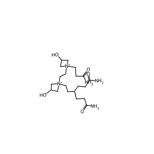 NC(=O)CCC(CCC(N)=O)CC[N+]1(CC[N+]2(CCC(N)=O)CC(O)C2)CC(O)C1